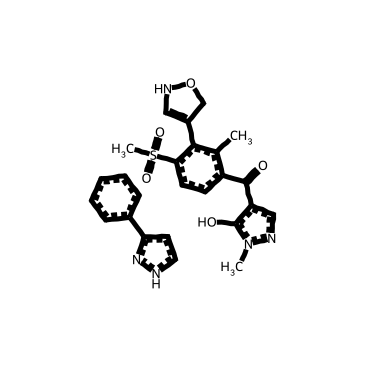 Cc1c(C(=O)c2cnn(C)c2O)ccc(S(C)(=O)=O)c1C1=CNOC1.c1ccc(-c2cc[nH]n2)cc1